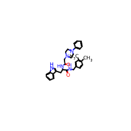 Cc1ccc(CNC(=O)C(Cc2c[nH]c3ccccc23)NC(=O)CN2CCN(c3ccccc3)CC2)cc1C